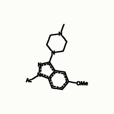 COc1ccc2c(c1)c(N1CCN(C)CC1)nn2C(C)=O